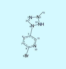 CN1N=CN(c2ccc(Br)nc2)N1